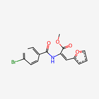 C=C(Br)/C=C\C(=C/C)C(=O)N/C(=C/c1ccco1)C(=O)OC